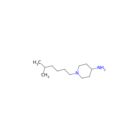 CC(C)CCCCN1CCC(N)CC1